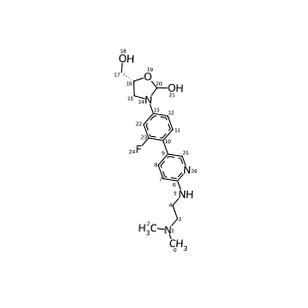 CN(C)CCNc1ccc(-c2ccc(N3C[C@H](CO)OC3O)cc2F)cn1